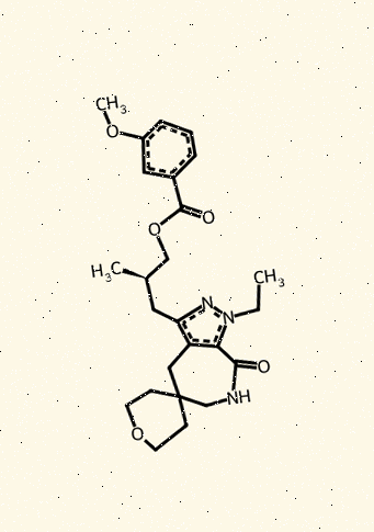 CCn1nc(C[C@@H](C)COC(=O)c2cccc(OC)c2)c2c1C(=O)NCC1(CCOCC1)C2